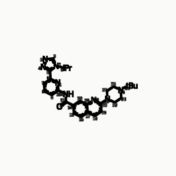 CC(C)n1cnnc1-c1cccc(NC(=O)c2ccc3ccc(N4CCN(C(C)(C)C)CC4)nc3c2)n1